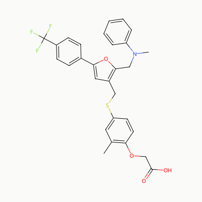 Cc1cc(SCc2cc(-c3ccc(C(F)(F)F)cc3)oc2CN(C)c2ccccc2)ccc1OCC(=O)O